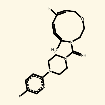 CC1=C=C/C(F)=C\COCCN1C(=N)N1CCN(c2ccc(F)cn2)CC1